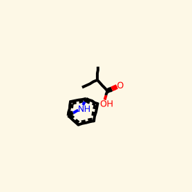 CC(C)C(=O)O.c1cc2cc(c1)N2